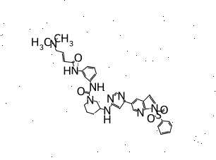 CN(C)C/C=C/C(=O)Nc1cccc(NC(=O)N2CCCC(Nc3cc(-c4cnc5c(ccn5S(=O)(=O)c5ccccc5)c4)ncn3)C2)c1